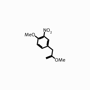 C=C(Cc1ccc(OC)c([N+](=O)[O-])c1)OC